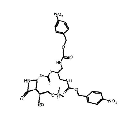 C[SiH](C)OC[C@H]([C@H]1C(=O)N[C@@H]1SC(=S)SC(CNC(=O)OCc1ccc([N+](=O)[O-])cc1)CNC(=O)OCc1ccc([N+](=O)[O-])cc1)C(C)(C)C